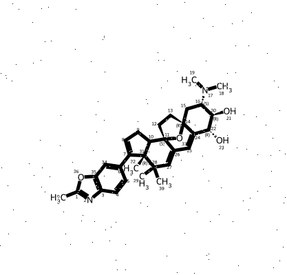 Cc1nc2ccc(C3=CCC4[C@@]56CC[C@]7(C[C@H](N(C)C)[C@@H](O)[C@H](O)C7=CC5=CC(C)(C)[C@]34C)O6)cc2o1